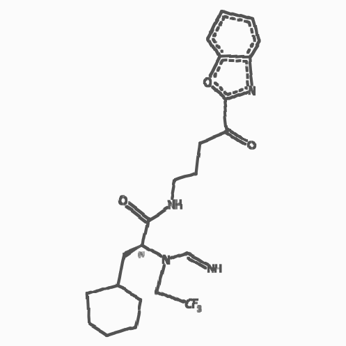 N=CN(CC(F)(F)F)[C@@H](CC1CCCCC1)C(=O)NCCCC(=O)c1nc2ccccc2o1